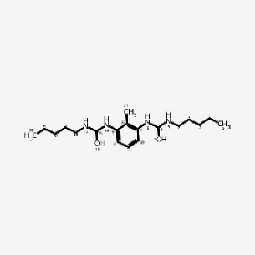 CCCCCNC(O)Nc1cccc(NC(O)NCCCCC)c1C